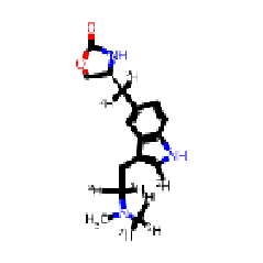 [2H]c1[nH]c2ccc(C([2H])([2H])[C@H]3COC(=O)N3)cc2c1CC([2H])([2H])N(C)C([2H])([2H])[2H]